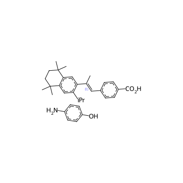 C/C(=C\c1ccc(C(=O)O)cc1)c1cc2c(cc1C(C)C)C(C)(C)CCC2(C)C.Nc1ccc(O)cc1